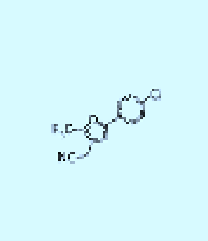 N#CCc1cc(-c2ccc(Cl)cc2)oc1C(F)(F)F